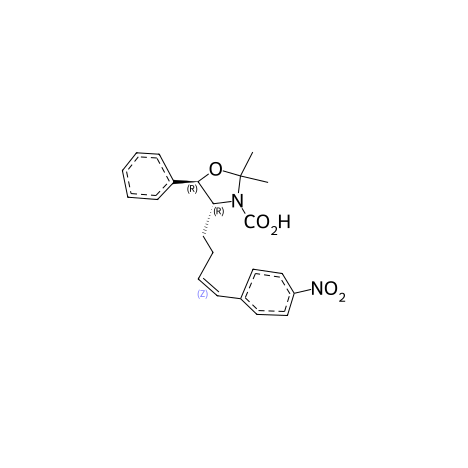 CC1(C)O[C@H](c2ccccc2)[C@@H](CC/C=C\c2ccc([N+](=O)[O-])cc2)N1C(=O)O